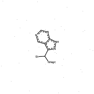 CCCCCCCC(CC)c1n[nH]c2ncncc12